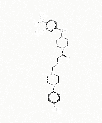 C[S+]([O-])c1ccc(NC2CCN(C(=O)CCCN3CCN(c4ccc(C(F)(F)F)cc4)CC3)CC2)cc1C(F)(F)F